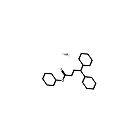 O=C(CCC(C1CCCCC1)C1CCCCC1)OC1CCCCC1.[SnH2]